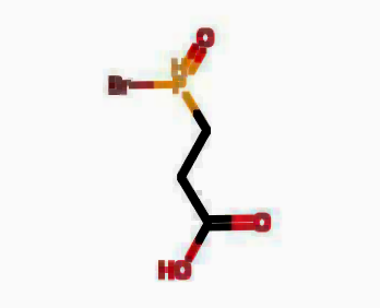 O=C(O)CC[PH](=O)Br